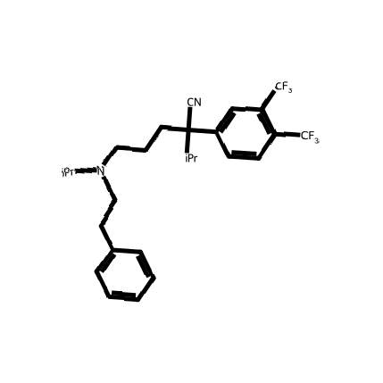 CC(C)N(CCCC(C#N)(c1ccc(C(F)(F)F)c(C(F)(F)F)c1)C(C)C)CCc1ccccc1